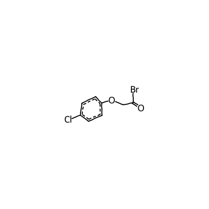 O=C(Br)COc1ccc(Cl)cc1